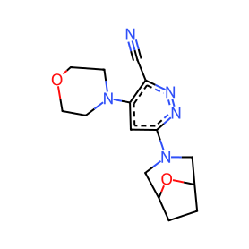 N#Cc1nnc(N2CC3CCC(C2)O3)cc1N1CCOCC1